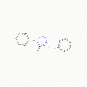 O=c1n(Oc2ccccc2)nnn1-c1ccccc1